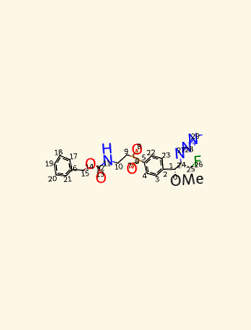 CO[C@H](c1ccc(S(=O)(=O)CCNC(=O)OCc2ccccc2)cc1)[C@@H](CF)N=[N+]=[N-]